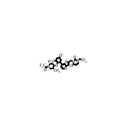 Cc1cc(Cl)cc(-c2ccnc3cc(Cn4c(=O)ccn(CC(F)(F)F)c4=O)sc23)c1O[C@@H]1CCN(C(=O)C(F)(F)F)C[C@@H]1C